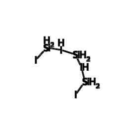 I[SiH2][IH][SiH2][IH][SiH2]I